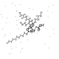 CCCCCCCCCCCC(=O)N[C@@H](CCC(=O)O)C(=O)OC(CCCCCC)(CCCCCC)CCCCCCCCC